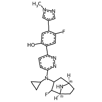 Cn1cc(-c2cc(O)c(-c3ccc(N(C4CC4)C4C[C@H]5CC[C@H](N5)C4F)nn3)cc2F)cn1